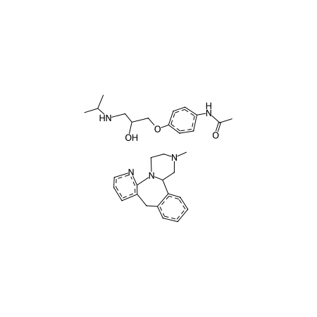 CC(=O)Nc1ccc(OCC(O)CNC(C)C)cc1.CN1CCN2c3ncccc3Cc3ccccc3C2C1